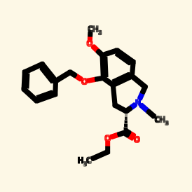 CCOC(=O)[C@@H]1Cc2c(ccc(OC)c2OCc2ccccc2)CN1C